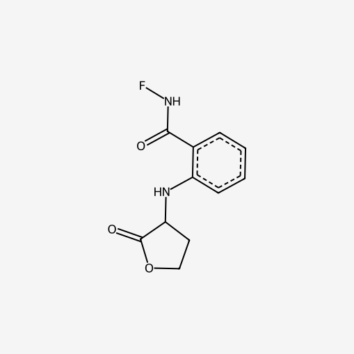 O=C(NF)c1ccccc1NC1CCOC1=O